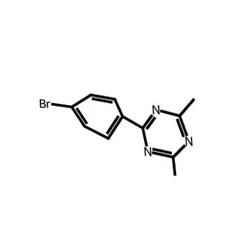 Cc1nc(C)nc(-c2ccc(Br)cc2)n1